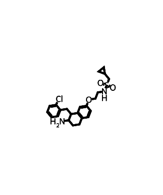 NC1CCc2ccc(OCCNS(=O)(=O)CC3CC3)cc2C1Cc1ccccc1Cl